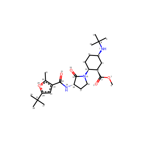 COC(=O)[C@@H]1C[C@H](NC(C)(C)C)CC[C@@H]1N1CC[C@H](NC(=O)c2cc(C(C)(C)C)oc2C)C1=O